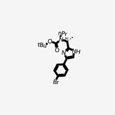 CCCN(C(=O)OC(C)(C)C)[C@H](C)c1nc(-c2ccc(Br)cc2)c[nH]1